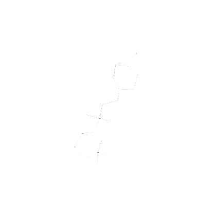 CC(C)N1CCN(CCC(C)(C)N2CCOC(C)(C(=O)O)C2)CC1